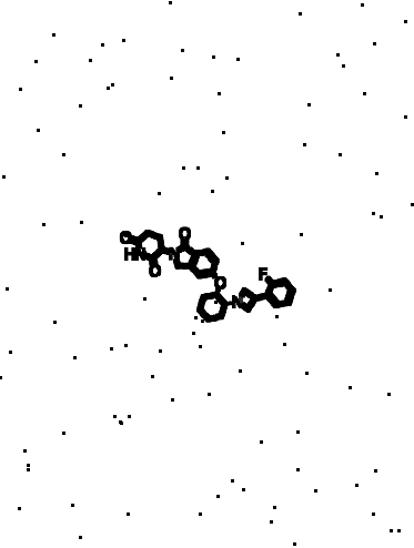 O=C1CCC(N2Cc3cc(O[C@@H]4CCCC[C@H]4N4CC(c5ccccc5F)C4)ccc3C2=O)C(=O)N1